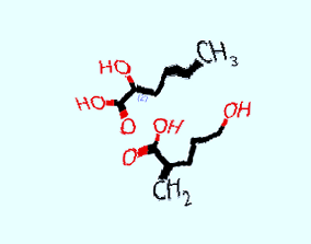 C=C(CCCO)C(=O)O.CCC/C=C(\O)C(=O)O